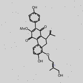 C=C(C)C1Cc2c(ccc(O)c2OC/C=C(\C)CO)C2=C1C(=O)C(c1ccc(O)cc1)=C(OC)C2=O